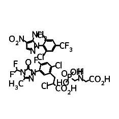 Cc1nn(-c2cc(CC(Cl)C(=O)O)c(Cl)cc2F)c(=O)n1C(F)F.Nc1c([N+](=O)[O-])cnn1-c1c(Cl)cc(C(F)(F)F)cc1Cl.O=C(O)CNCP(=O)(O)O